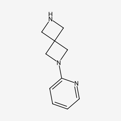 c1ccc(N2CC3(CNC3)C2)nc1